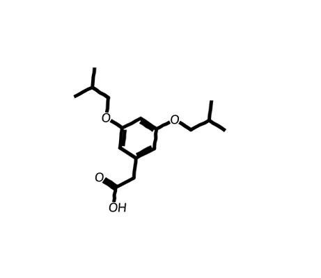 CC(C)COc1cc(CC(=O)O)cc(OCC(C)C)c1